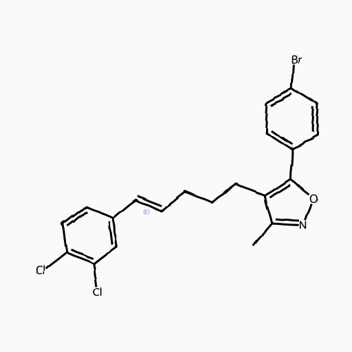 Cc1noc(-c2ccc(Br)cc2)c1CCC/C=C/c1ccc(Cl)c(Cl)c1